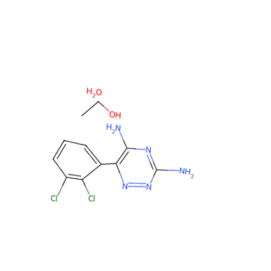 CCO.Nc1nnc(-c2cccc(Cl)c2Cl)c(N)n1.O